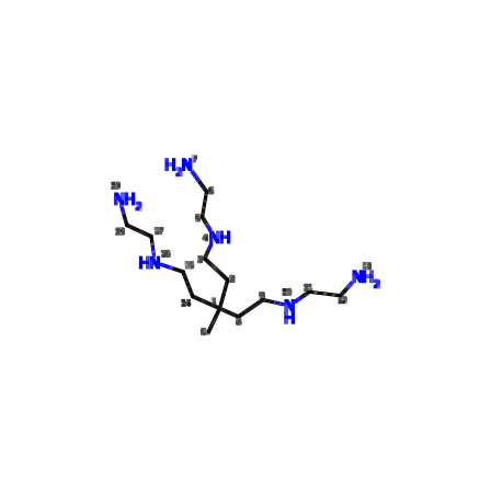 CC(CCNCCN)(CCNCCN)CCNCCN